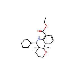 CCOC(=O)c1cccc2c1N[C@H](C1CCCCC1)[C@@H]1CCCO[C@H]21